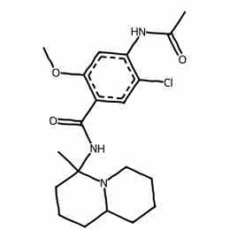 COc1cc(NC(C)=O)c(Cl)cc1C(=O)NC1(C)CCCC2CCCCN21